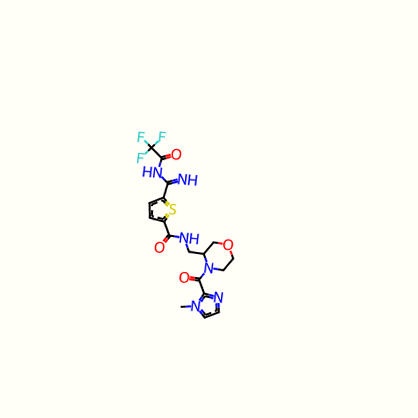 Cn1ccnc1C(=O)N1CCOCC1CNC(=O)c1ccc(C(=N)NC(=O)C(F)(F)F)s1